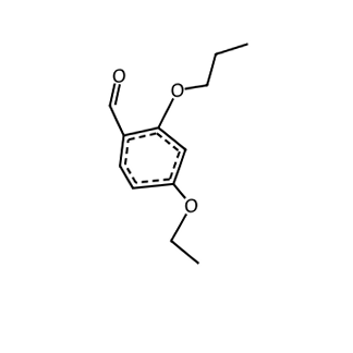 CCCOc1cc(OCC)ccc1C=O